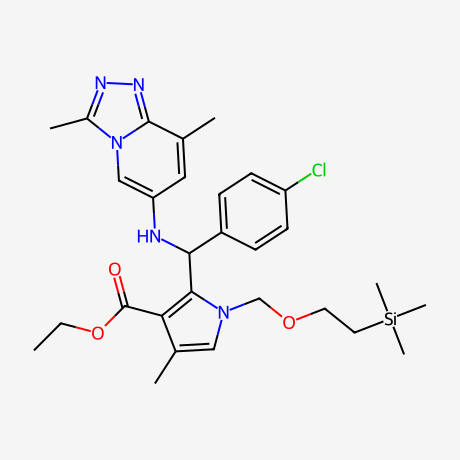 CCOC(=O)c1c(C)cn(COCC[Si](C)(C)C)c1C(Nc1cc(C)c2nnc(C)n2c1)c1ccc(Cl)cc1